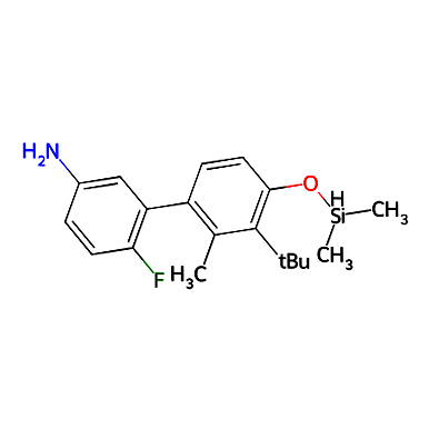 Cc1c(-c2cc(N)ccc2F)ccc(O[SiH](C)C)c1C(C)(C)C